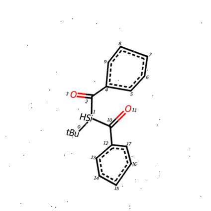 CC(C)(C)[SiH](C(=O)c1ccccc1)C(=O)c1ccccc1